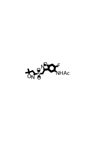 CC(=O)Nc1cc2c(CS(=O)(=O)C3=NOC(C)(C)C3)noc2cc1F